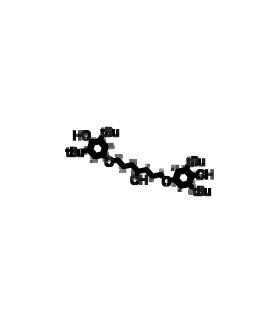 CC(C)(C)c1cc(OCCCC(O)CCCOc2cc(C(C)(C)C)c(O)c(C(C)(C)C)c2)cc(C(C)(C)C)c1O